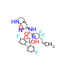 C=CCC1CN(C(=O)C2(O)c3cc(F)ccc3-c3ccc(F)cc32)[C@H](C(=O)N[C@H](C#N)C[C@@H]2CCCNC2=O)CC1(F)F